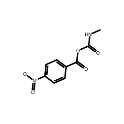 CNC(=O)OC(=O)c1ccc([N+](=O)[O-])cc1